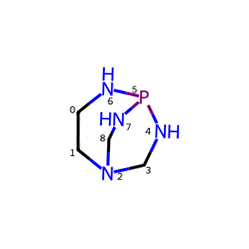 C1CN2CNP(N1)NC2